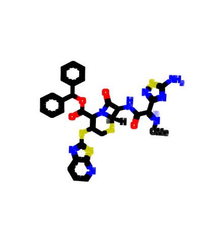 CO/N=C(\C(=O)NC1C(=O)N2C(C(=O)OC(c3ccccc3)c3ccccc3)=C(Sc3nc4cccnc4s3)CS[C@@H]12)c1nsc(N)n1